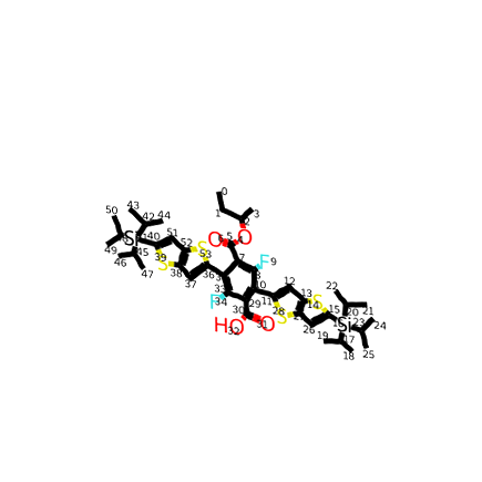 CCC(C)OC(=O)c1c(F)c(-c2cc3sc([Si](C(C)C)(C(C)C)C(C)C)cc3s2)c(C(=O)O)c(F)c1-c1cc2sc([Si](C(C)C)(C(C)C)C(C)C)cc2s1